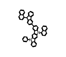 c1ccc(-n2c3ccccc3c3cc4c(cc32)c2cc(-c3ccc5c(c3)-c3ccccc3C5c3cccc5ccccc35)ccc2n4-c2cccc3ccccc23)cc1